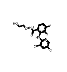 O=C(NOCCO)c1ccc(F)c(F)c1Nc1ncc(Cl)cc1Cl